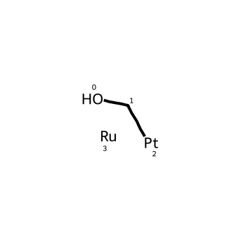 O[CH2][Pt].[Ru]